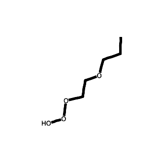 CCCOCCOOO